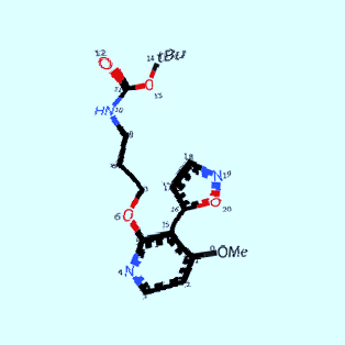 COc1ccnc(OCCCNC(=O)OC(C)(C)C)c1-c1ccno1